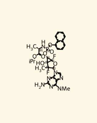 CNc1nc(N)nc2c1ncn2[C@@H]1O[C@]2(F)[C@@H](O[P@@](=O)(N[C@H](C)C(=O)OC(C)C)Oc3cccc4ccccc34)[C@]2(O)[C@@]1(C)F